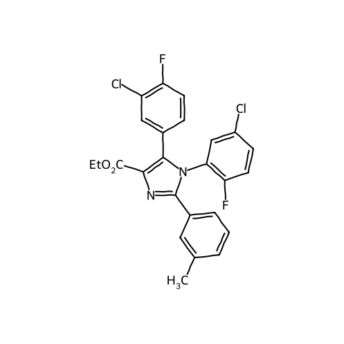 CCOC(=O)c1nc(-c2cccc(C)c2)n(-c2cc(Cl)ccc2F)c1-c1ccc(F)c(Cl)c1